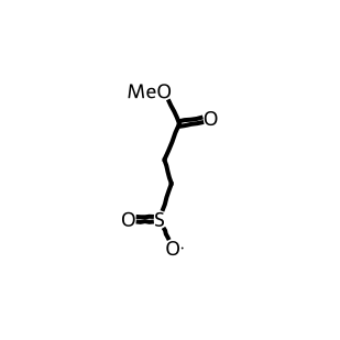 COC(=O)CCS([O])=O